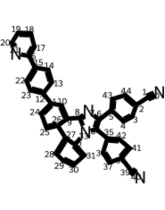 N#Cc1ccc(-c2nc3c4cc(-c5ccc(-c6ccccn6)cc5)ccc4c4ccccc4n3c2-c2ccc(C#N)cc2)cc1